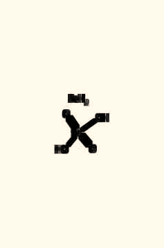 O=[Se](=O)(O)O.[BeH2]